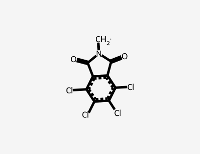 [CH2]N1C(=O)c2c(Cl)c(Cl)c(Cl)c(Cl)c2C1=O